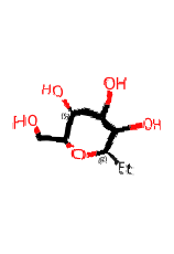 CC[C@H]1OC(CO)[C@@H](O)C(O)C1O